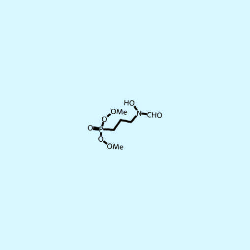 COOP(=O)(CCCN(O)C=O)OOC